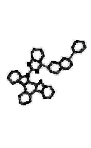 c1ccc(-c2ccc3ccc(-c4nc(-n5c6ccccc6c6c7ccccc7c7c8ccccc8sc7c65)nc5ccccc45)cc3c2)cc1